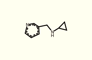 c1cncc(CNC2CC2)c1